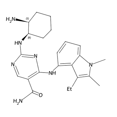 CCc1c(C)n(C)c2cccc(Nc3nc(N[C@@H]4CCCC[C@@H]4N)ncc3C(N)=O)c12